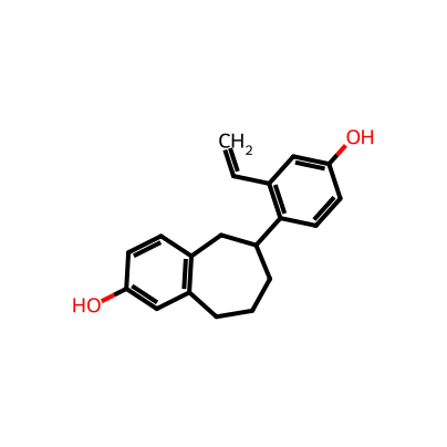 C=Cc1cc(O)ccc1C1CCCc2cc(O)ccc2C1